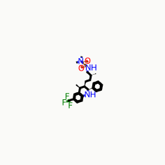 C[C@H](CC[C@@H]1[C@H](C)c2cc(C(F)(F)F)ccc2N[C@H]1c1ccccc1)CNS(=O)(=O)N(C)C